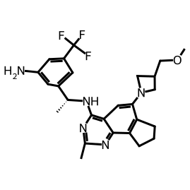 COCC1CN(c2cc3c(N[C@H](C)c4cc(N)cc(C(F)(F)F)c4)nc(C)nc3c3c2CCC3)C1